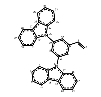 C=Cc1cc(-n2c3ccccc3c3ccccc32)cc(-n2c3ccccc3c3ccccc32)c1